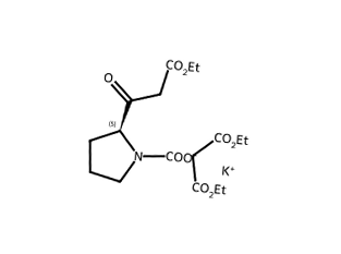 CCOC(=O)CC(=O)OCC.CCOC(=O)CC(=O)[C@@H]1CCCN1C(=O)[O-].[K+]